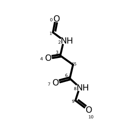 O=CNC(=O)[CH]C(=O)NC=O